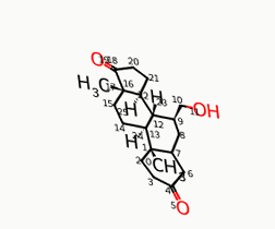 C[C@]12CCC(=O)CC1C[C@H](CO)[C@@H]1[C@@H]2CC[C@]2(C)C(=O)CC[C@@H]12